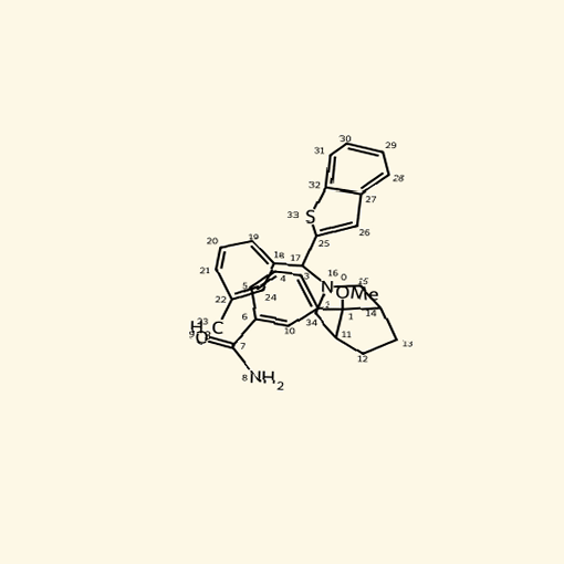 COC1(c2cccc(C(N)=O)c2)C2CCC1CN(C(c1cccc(C)c1)c1cc3ccccc3s1)C2